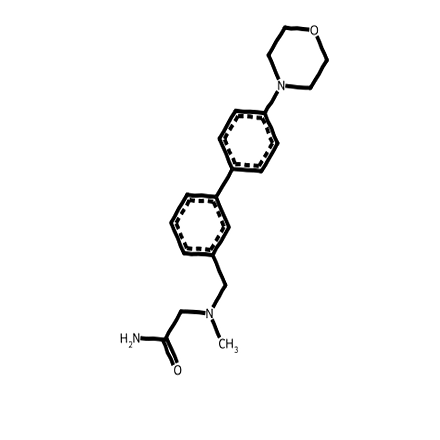 CN(CC(N)=O)Cc1cccc(-c2ccc(N3CCOCC3)cc2)c1